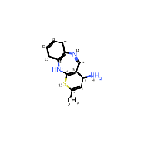 CC1=CC(N)C2=C(NC3=C(CC=CC3)N=C2)S1